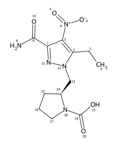 CCc1c([N+](=O)[O-])c(C(N)=O)nn1C[C@@H]1CCCN1C(=O)O